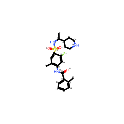 Cc1cc(S(=O)(=O)NC(C)C2CCNCC2)c(F)cc1NC(=O)c1ccccc1C